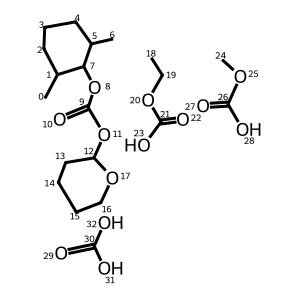 CC1CCCC(C)C1OC(=O)OC1CCCCO1.CCOC(=O)O.COC(=O)O.O=C(O)O